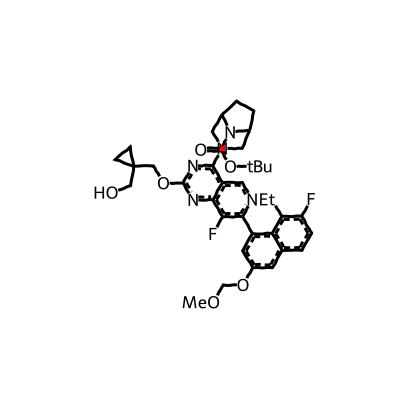 CCc1c(F)ccc2cc(OCOC)cc(-c3ncc4c(N5CC6CCC(C5)N6C(=O)OC(C)(C)C)nc(OCC5(CO)CC5)nc4c3F)c12